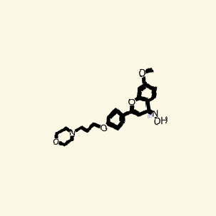 COc1ccc2/c(=N/O)cc(-c3ccc(OCCCN4CCOCC4)cc3)oc2c1